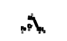 [Cr].[Fe].[SiH3][Mo]